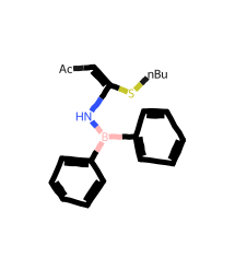 CCCCS/C(=C/C(C)=O)NB(c1ccccc1)c1ccccc1